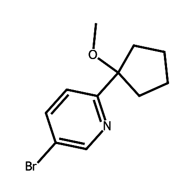 COC1(c2ccc(Br)cn2)CCCC1